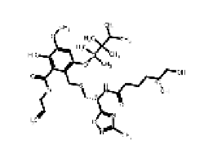 C=CCOC(=O)c1c(C)c(OC)cc(O[Si](C)(C)C(C)(C)C(C)C)c1CSC[C@H](NC(=O)CCC[C@@H](O)CO)c1nc(C)no1